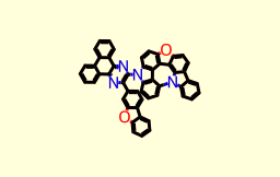 c1ccc2c(c1)oc1cc(-c3nc4c5ccccc5c5ccccc5c4nc3-n3c4ccc5oc6ccc7c8ccccc8n8c9cccc3c9c4c5c6c78)ccc12